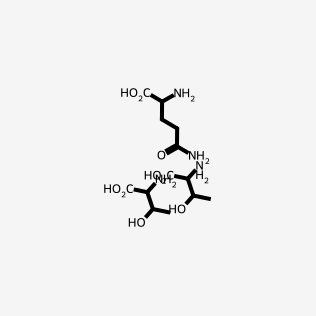 CC(O)C(N)C(=O)O.CC(O)C(N)C(=O)O.NC(=O)CCC(N)C(=O)O